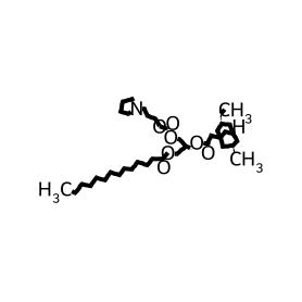 CCCCCCCCCCCCCC(=O)OCC(COC(=O)CC12C[C@@H](C)C[C@@H](C[C@@H](CC)C1)C2)COC(=O)OCCCN1CCCC1